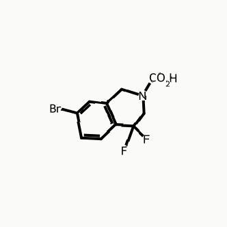 O=C(O)N1Cc2cc(Br)ccc2C(F)(F)C1